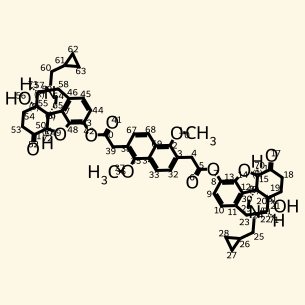 COc1c(CC(=O)Oc2ccc3c4c2O[C@H]2C(=O)CC[C@@]5(O)[C@@H](C3)N(CC3CC3)CC[C@]425)ccc2c(OC)c(CC(=O)Oc3ccc4c5c3O[C@H]3C(=O)CC[C@@]6(O)[C@@H](C4)N(CC4CC4)CC[C@]536)ccc12